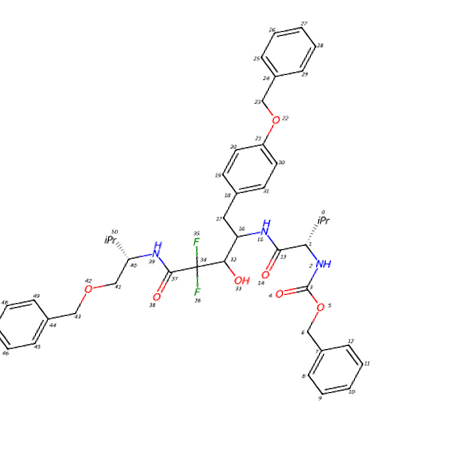 CC(C)[C@H](NC(=O)OCc1ccccc1)C(=O)NC(Cc1ccc(OCc2ccccc2)cc1)C(O)C(F)(F)C(=O)N[C@H](COCc1ccccc1)C(C)C